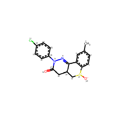 Cc1ccc2c(c1)C1=NN(c3ccc(Cl)cc3)C(=O)CC1C[S+]2[O-]